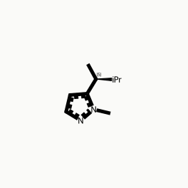 CC(C)[C@H](C)c1ccnn1C